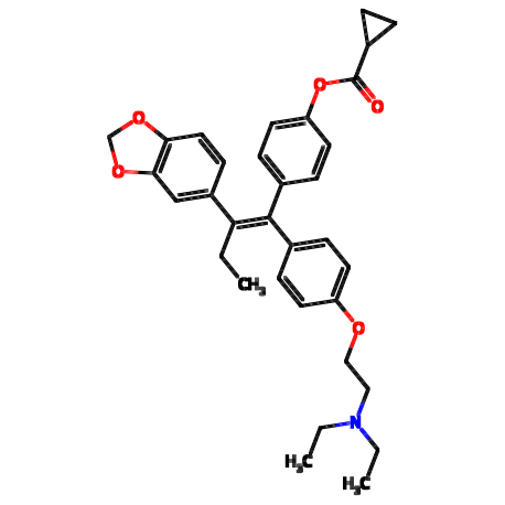 CCC(=C(c1ccc(OCCN(CC)CC)cc1)c1ccc(OC(=O)C2CC2)cc1)c1ccc2c(c1)OCO2